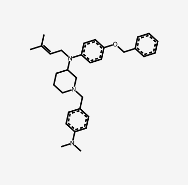 CC(C)=CCN(c1ccc(OCc2ccccc2)cc1)C1CCCN(Cc2ccc(N(C)C)cc2)C1